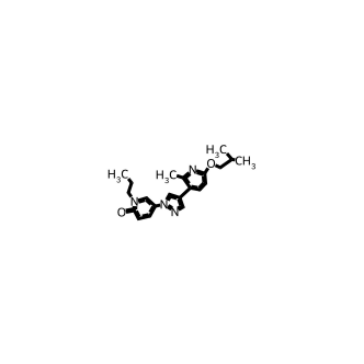 CCCn1cc(-n2cc(-c3ccc(OCC(C)C)nc3C)cn2)ccc1=O